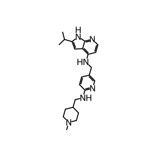 CC(C)c1cc2c(NCc3ccc(NCC4CCN(C)CC4)nc3)ccnc2[nH]1